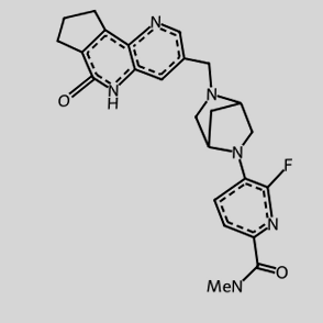 CNC(=O)c1ccc(N2CC3CC2CN3Cc2cnc3c4c(c(=O)[nH]c3c2)CCC4)c(F)n1